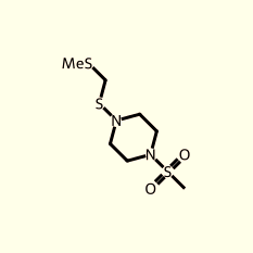 CSCSN1CCN(S(C)(=O)=O)CC1